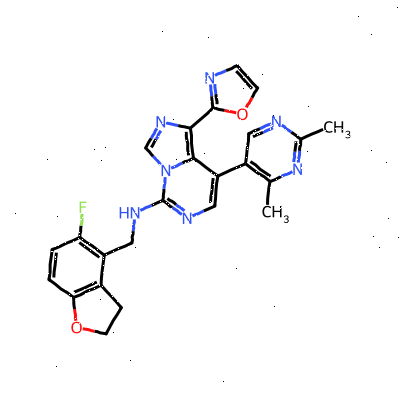 Cc1ncc(-c2cnc(NCc3c(F)ccc4c3CCO4)n3cnc(-c4ncco4)c23)c(C)n1